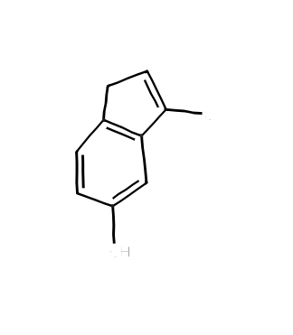 Cc1ccc2c(c1)C(Cl)=CC2